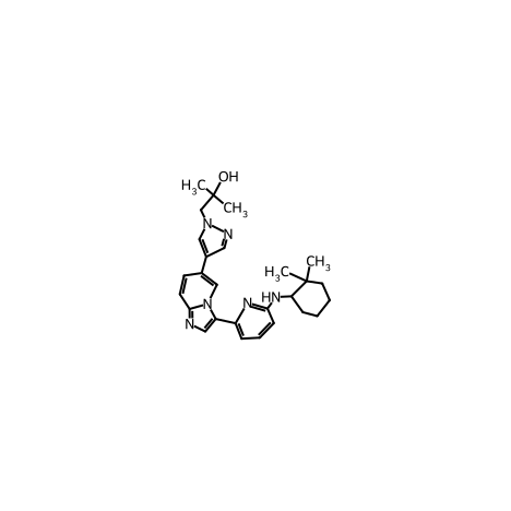 CC(C)(O)Cn1cc(-c2ccc3ncc(-c4cccc(NC5CCCCC5(C)C)n4)n3c2)cn1